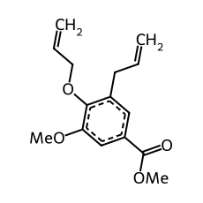 C=CCOc1c(CC=C)cc(C(=O)OC)cc1OC